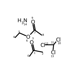 CC(C)=O.CCOC(C)=O.ClC(Cl)Cl.N